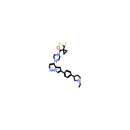 CCN1CCC(c2ccc(-c3cc4c(N5CCN(C(=O)C6(C(F)F)CC6)CC5)ccnn4c3)cc2)C1